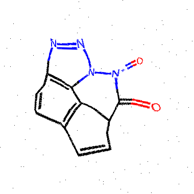 O=C1C2C=Cc3ccc4nnn(c4c32)[N+]1=O